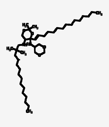 CCCCCCCCCCC[CH]CC(C)(C)CNC1COC(C)(C)OC1(C=CCCCCCCCCCCCCC)NC1COCOC1